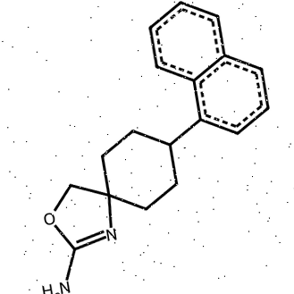 NC1=NC2(CCC(c3cccc4ccccc34)CC2)CO1